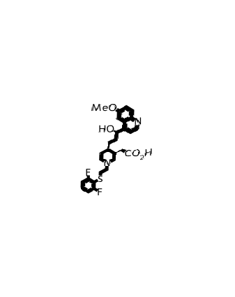 COc1ccc2nccc([C@H](O)CC[C@@H]3CCN(CCSc4c(F)cccc4F)C[C@@H]3CC(=O)O)c2c1